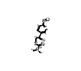 C=C(/C=C\C(=C/C)C1=NN=C(N(C)C)SC1)N=O